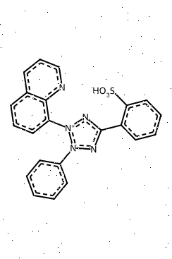 O=S(=O)(O)c1ccccc1-c1nn(-c2ccccc2)[n+](-c2cccc3cccnc23)n1